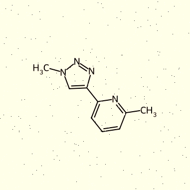 Cc1cccc(-c2cn(C)nn2)n1